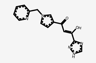 O=C(C=C(O)c1nc[nH]n1)c1ccn(Cc2ccccn2)c1